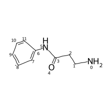 NCCC(=O)Nc1c[c]ccc1